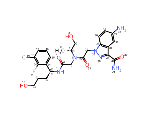 C[C@H](CO)N(CC(=O)N[C@@H](CCCO)c1cccc(Cl)c1F)C(=O)Cn1nc(C(N)=O)c2cc(N)ccc21